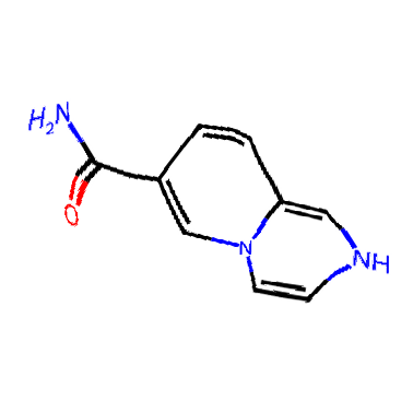 NC(=O)C1=CN2C=CNC=C2C=C1